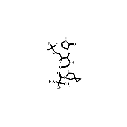 CC(C)(C)C(=O)N1CC2(CC2)C[C@H]1C(=O)NC(C[C@@H]1CCNC1=O)C(=O)COC(F)(F)F